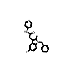 Cc1c(CC(=O)Nc2ccncc2)c2cc(F)ccc2n1Cc1ccccc1